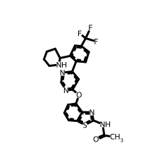 CC(=O)Nc1nc2c(Oc3cc(-c4ccc(C(F)(F)F)cc4C4CCCCN4)ncn3)cccc2s1